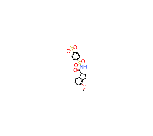 COc1cccc2c1CCC2C(=O)NS(=O)(=O)c1ccc(S(C)(=O)=O)cc1